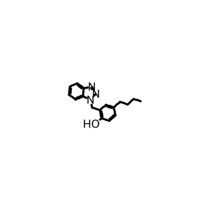 CCCCc1ccc(O)c(Cn2nnc3ccccc32)c1